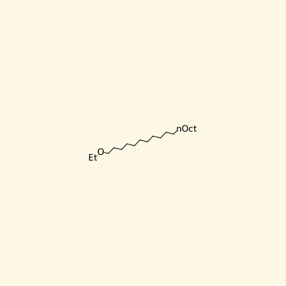 CCCCCCCCCCCCCCCCCCCOCC